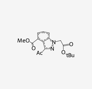 COC(=O)c1cccc2c1c(C(C)=O)nn2CC(=O)OC(C)(C)C